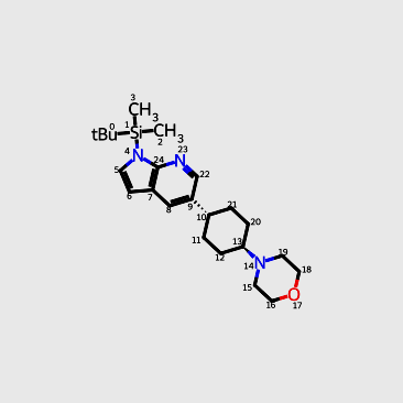 CC(C)(C)[Si](C)(C)n1ccc2cc([C@H]3CC[C@H](N4CCOCC4)CC3)cnc21